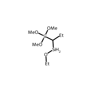 CCO[SiH2]C(CC)[Si](OC)(OC)OC